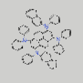 c1ccc(N(c2ccccc2)c2cc(N(c3ccccc3)c3ccc4ccccc4c3)c3ccc4c(N(c5ccccc5)c5ccccc5)cc(N(c5ccccc5)c5ccc6ccccc6c5)c5ccc2c3c45)cc1